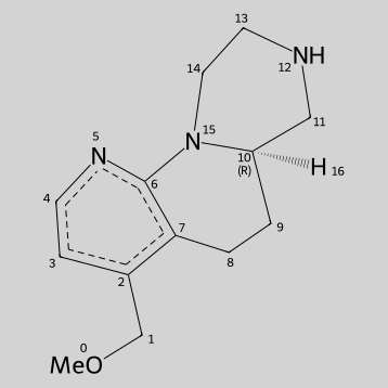 COCc1ccnc2c1CC[C@@H]1CNCCN21